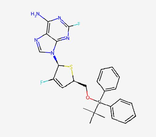 CC(C)(C)[Si](OC[C@H]1C=C(F)[C@@H](n2cnc3c(N)nc(F)nc32)S1)(c1ccccc1)c1ccccc1